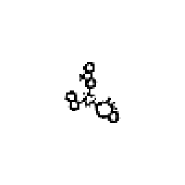 C=C1/C=C(c2nc(-c3ccc4c(c3)C(C)(C)c3ccccc3-4)nc(-c3cccc4ccccc34)n2)\C=C/Cc2ccccc2C1(C)C